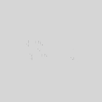 NC(=O)C1CCC(C(N)C[C@H](N)NC2CNC=CN2)CC1